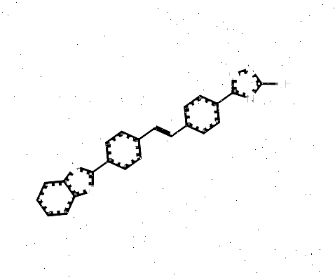 Cc1noc(-c2ccc(C=Cc3ccc(-c4nc5ccccc5o4)cc3)cc2)n1